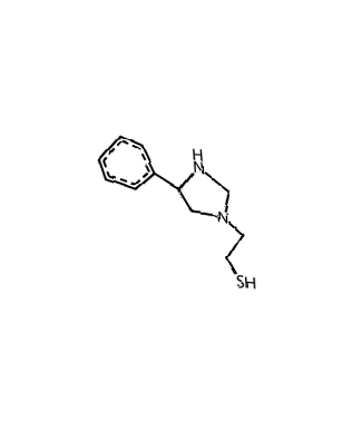 SCCN1CNC(c2ccccc2)C1